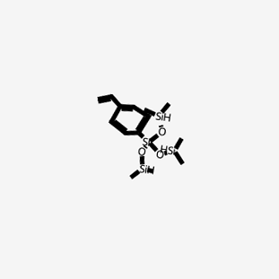 C=Cc1ccc([Si](O[SiH](C)C)(O[SiH](C)C)O[SiH](C)C)cc1